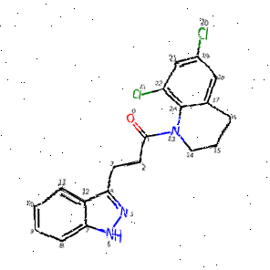 O=C(CCc1n[nH]c2ccccc12)N1CCCc2cc(Cl)cc(Cl)c21